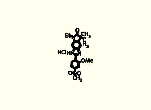 CCN1C(=O)C(C)(C)c2cc3nc(-c4ccc(S(C)(=O)=O)cc4OC)[nH]c3cc21.Cl